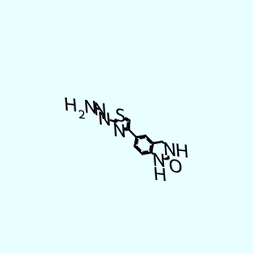 NN=Nc1nc(-c2ccc3c(c2)CNC(=O)N3)cs1